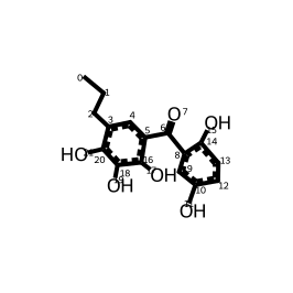 CCCc1cc(C(=O)c2cc(O)ccc2O)c(O)c(O)c1O